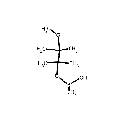 COC(C)(C)C(C)(C)OB(C)O